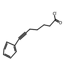 O=C(Cl)CCCCC#Cc1ccccc1